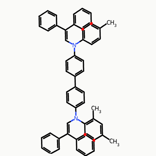 Cc1ccc(N(C=C(c2ccccc2)c2ccccc2)c2ccc(-c3ccc(N(C=C(c4ccccc4)c4ccccc4)c4ccc(C)cc4C)cc3)cc2)cc1